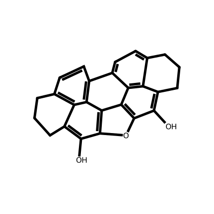 Oc1c2c3c(ccc4c5ccc6c7c(c(O)c8oc1c(c34)c8c75)CCC6)CCC2